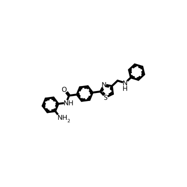 Nc1ccccc1NC(=O)c1ccc(-c2nc(CNc3ccccc3)cs2)cc1